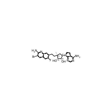 C[C@]1(CCc2cc3nc(N)c(Br)cc3cc2F)C[C@@H](n2ccc3c(N)ncnc32)[C@H](O)[C@@H]1O